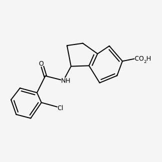 O=C(O)c1ccc2c(c1)CCC2NC(=O)c1ccccc1Cl